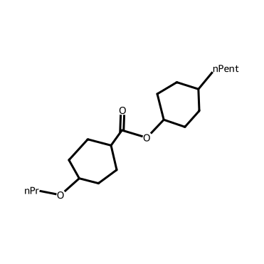 CCCCCC1CCC(OC(=O)C2CCC(OCCC)CC2)CC1